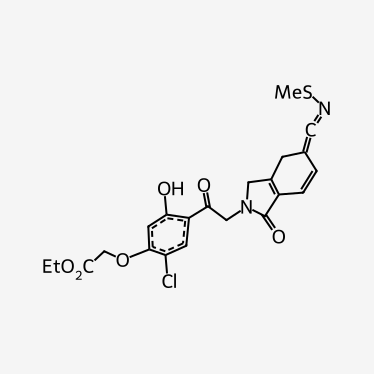 CCOC(=O)COc1cc(O)c(C(=O)CN2CC3=C(C=CC(=C=NSC)C3)C2=O)cc1Cl